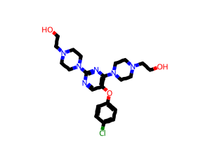 OCCN1CCN(c2ncc(Oc3ccc(Cl)cc3)c(N3CCN(CCO)CC3)n2)CC1